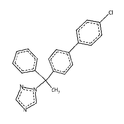 CC(c1ccccc1)(c1ccc(-c2ccc(Cl)cc2)cc1)n1cncn1